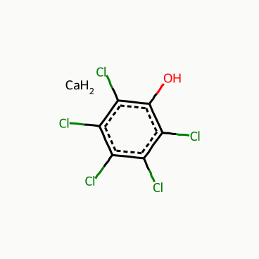 Oc1c(Cl)c(Cl)c(Cl)c(Cl)c1Cl.[CaH2]